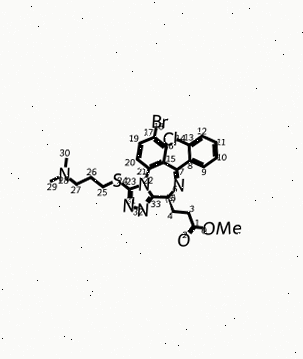 COC(=O)CC[C@@H]1N=C(c2ccccc2Cl)c2cc(Br)ccc2-n2c(SCCCN(C)C)nnc21